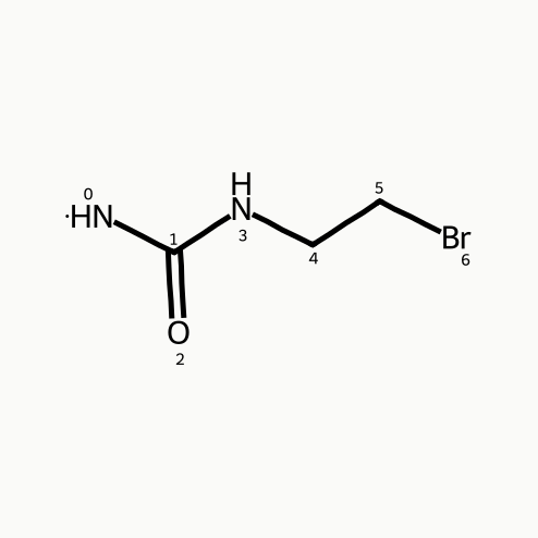 [NH]C(=O)NCCBr